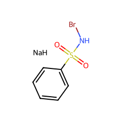 O=S(=O)(NBr)c1ccccc1.[NaH]